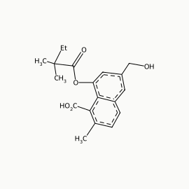 CCC(C)(C)C(=O)Oc1cc(CO)cc2ccc(C)c(C(=O)O)c12